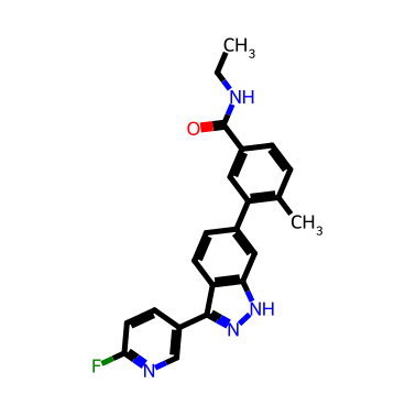 CCNC(=O)c1ccc(C)c(-c2ccc3c(-c4ccc(F)nc4)n[nH]c3c2)c1